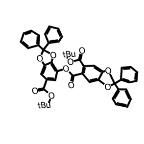 CC(C)(C)OC(=O)c1cc(OC(=O)c2cc3c(cc2C(=O)OC(C)(C)C)OC(c2ccccc2)(c2ccccc2)O3)c2c(c1)OC(c1ccccc1)(c1ccccc1)O2